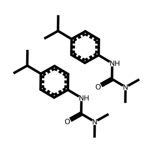 CC(C)c1ccc(NC(=O)N(C)C)cc1.CC(C)c1ccc(NC(=O)N(C)C)cc1